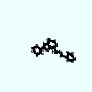 C(=NNc1ncnc2cc(-c3ccccc3)sc12)c1ccncc1